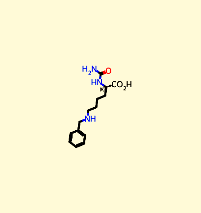 NC(=O)N[C@H](CCCCNCc1ccccc1)C(=O)O